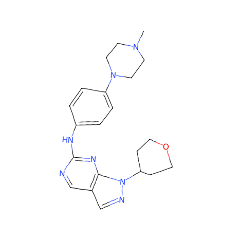 CN1CCN(c2ccc(Nc3ncc4cnn(C5CCOCC5)c4n3)cc2)CC1